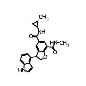 CNC(=O)c1cc(C(=O)N[C@H]2C[C@@H]2C)cc2c1OC[C@H]2c1cccc2[nH]ccc12